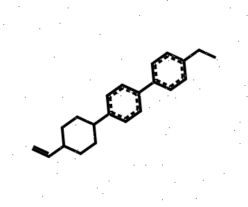 C=CC1CCC(c2ccc(-c3ccc(CC)cc3)cc2)CC1